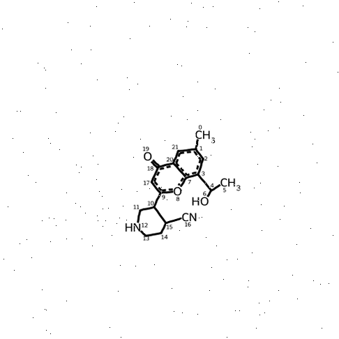 Cc1cc(C(C)O)c2oc(C3CNCCC3C#N)cc(=O)c2c1